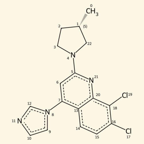 C[C@H]1CCN(c2cc(-n3ccnc3)c3ccc(Cl)c(Cl)c3n2)C1